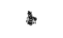 Cn1cc(Cn2c(=O)c3cc(N([SH](=O)=O)C4(CF)CC4)ccc3n(Cc3cn[nH]c3)c2=O)cn1